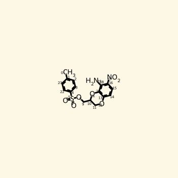 Cc1ccc(S(=O)(=O)OCC2COc3ccc([N+](=O)[O-])c(N)c3O2)cc1